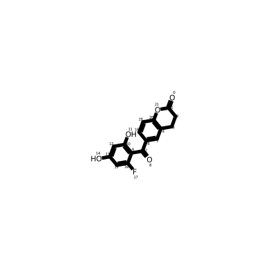 O=C1CCc2cc(C(=O)c3c(O)cc(O)cc3F)ccc2O1